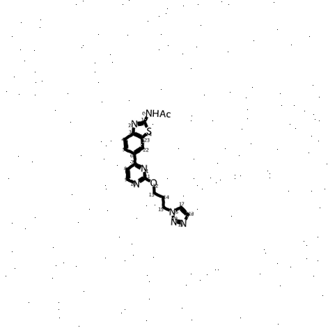 CC(=O)Nc1nc2ccc(-c3ccnc(OCCCn4ccnn4)n3)cc2s1